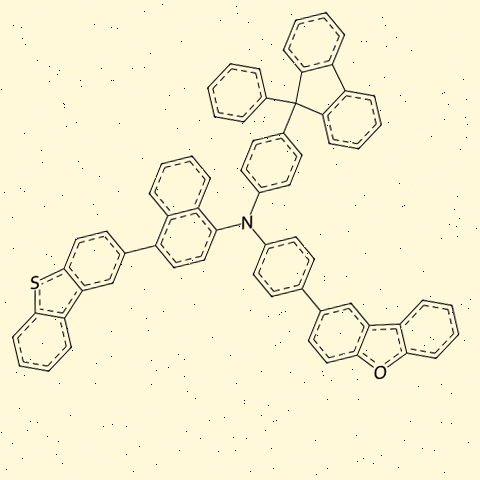 c1ccc(C2(c3ccc(N(c4ccc(-c5ccc6oc7ccccc7c6c5)cc4)c4ccc(-c5ccc6sc7ccccc7c6c5)c5ccccc45)cc3)c3ccccc3-c3ccccc32)cc1